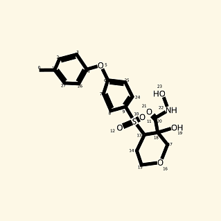 Cc1ccc(Oc2ccc(S(=O)(=O)C3CCOCC3(O)C(=O)NO)cc2)cc1